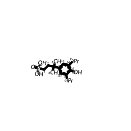 CC(C)c1cc(C(C)(C)CCP(=O)(O)O)cc(C(C)C)c1O